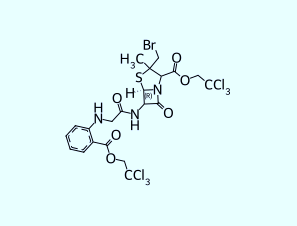 CC1(CBr)S[C@@H]2C(NC(=O)CNc3ccccc3C(=O)OCC(Cl)(Cl)Cl)C(=O)N2C1C(=O)OCC(Cl)(Cl)Cl